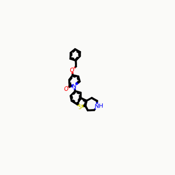 O=c1cc(OCc2ccccc2)ccn1-c1ccc2sc3c(c2c1)CCNCC3